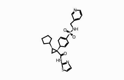 O=C(Nc1nccs1)[C@]1(C2C=CC(S(=O)(=O)NCc3cccnc3)=CC2)C[C@H]1C1CCCC1